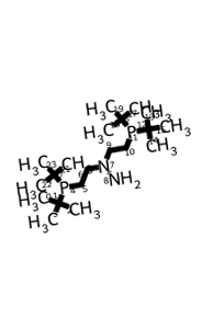 CC(C)(C)P(CCN(N)CCP(C(C)(C)C)C(C)(C)C)C(C)(C)C